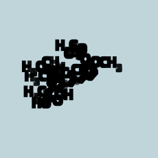 COc1ccc(C[C@@H](C[C@H](NC(=O)OC(C)(C)C)[C@@H](O)C[C@@H](C)C(=O)O)C(C)C)cc1OCS(C)(=O)=O